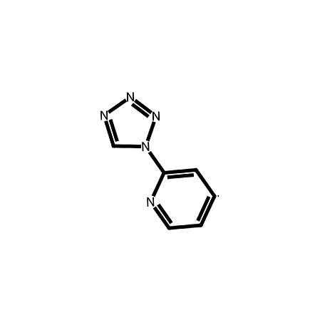 [c]1ccnc(-n2cnnn2)c1